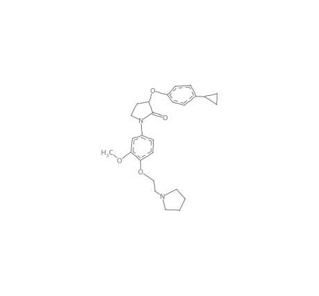 COc1cc(N2CCC(Oc3ccc(C4CC4)cc3)C2=O)ccc1OCCN1CCCC1